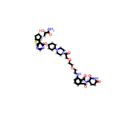 NC(=O)[C@@H](O)C[C@H]1CCc2sc3ncnc(O[C@H]4CC[C@H](N5CCN(C(=O)COCCOCCNc6cccc7c6C(=O)N(C6CCC(=O)NC6=O)C7=O)CC5)CC4)c3c21